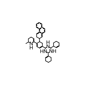 CC1CCC=C(C2=CC=C(C3NC(C4=CCCCC4)NC(C4C=CCCC4)N3)CC2C2C=c3ccc4ccccc4c3=CC2)N1